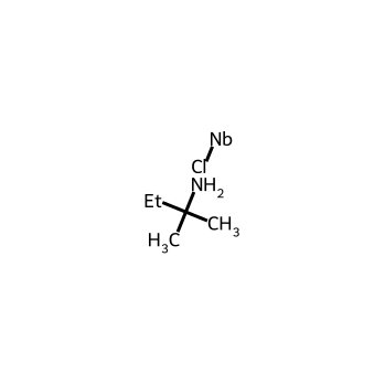 CCC(C)(C)N.[Cl][Nb]